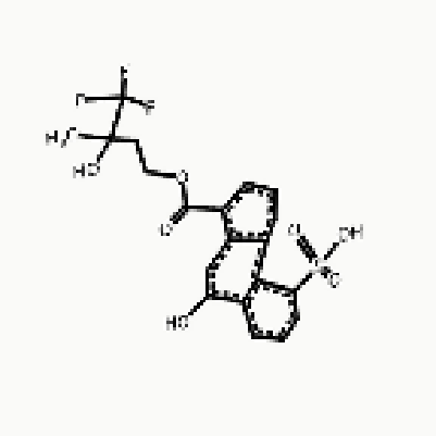 CC(O)(CCOC(=O)c1cccc2c1cc(O)c1cccc(S(=O)(=O)O)c12)C(F)(F)F